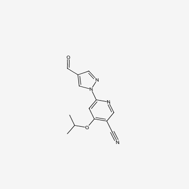 CC(C)Oc1cc(-n2cc(C=O)cn2)ncc1C#N